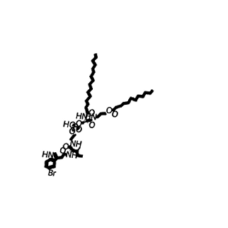 CCCCCCCCCCCCCCCC(=O)N[C@@H](COP(=O)(O)OCCNC(=O)[C@@H](NC(=O)Cc1c[nH]c2ccc(Br)cc12)[C@@H](C)CC)C(=O)NCCCOC(=O)CCCCCCCCCCC